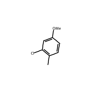 COc1[c]cc(C)c(Cl)c1